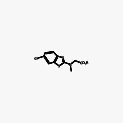 CN(CC(=O)O)c1nc2ccc(Cl)cc2s1